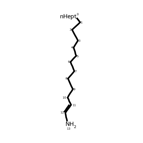 CCCCCCCCCCCCCCCCCC=CN